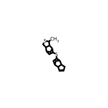 CC1SCC2C3CC(SC4CC5CC4C4CC=CC54)C(C3)C12